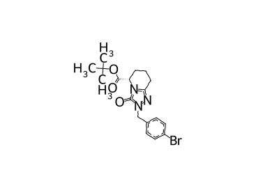 CC(C)(C)OC(=O)[C@@H]1CCCc2nn(Cc3ccc(Br)cc3)c(=O)n21